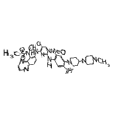 COc1cc(N2CCC(N3CCN(C)CC3)CC2)c(C(C)C)cc1Nc1ncc(Cl)c(Nc2ccc3nccnc3c2N(C)S(C)(=O)=O)n1